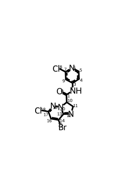 O=C(Nc1ccnc(Cl)c1)C1CN=C2C(Br)=CC(Cl)=NN21